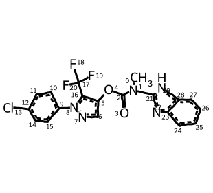 CN(C(=O)Oc1cnn(-c2ccc(Cl)cc2)c1C(F)(F)F)c1nc2ccccc2[nH]1